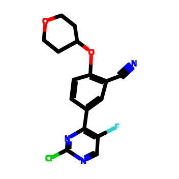 N#Cc1cc(-c2nc(Cl)ncc2F)ccc1OC1CCOCC1